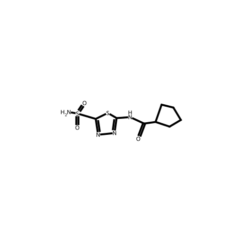 NS(=O)(=O)c1nnc(NC(=O)C2CCCC2)s1